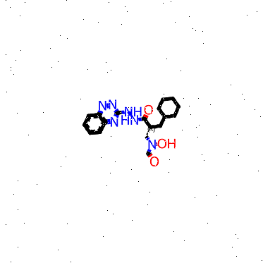 O=CN(O)C[C@@H](CC1CCCCC1)C(=O)NNc1nnc2ccccc2n1